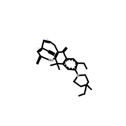 C#CC1=C\C(=C)NC2=C(C/C=C\1)C(=C)c1cc(CC)c(N3CCC(C)(CC)CC3)cc1C2(C)C